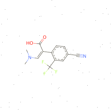 CN(C)C=C(C(=O)O)c1ccc(C#N)cc1C(F)(F)F